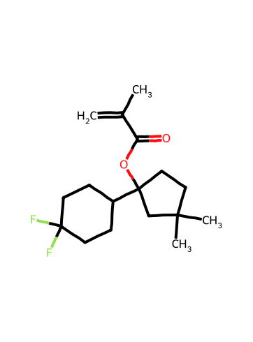 C=C(C)C(=O)OC1(C2CCC(F)(F)CC2)CCC(C)(C)C1